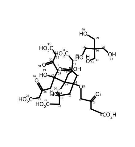 O=C(O)CC(=O)COC(CC(=O)CC(=O)O)(CC(=O)CC(=O)O)C(CO)(CO)C(O)(CC(=O)CC(=O)O)CC(=O)CC(=O)O.OCC(CO)(CO)CO